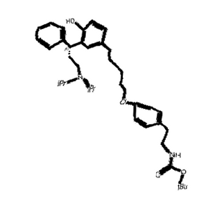 CC(C)N(CC[C@H](c1ccccc1)c1cc(CCCCCOc2ccc(CCNC(=O)OC(C)(C)C)cc2)ccc1O)C(C)C